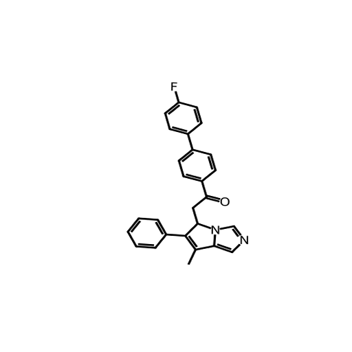 CC1=C(c2ccccc2)C(CC(=O)c2ccc(-c3ccc(F)cc3)cc2)n2cncc21